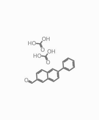 O=C(O)O.O=C(O)O.O=Cc1ccc2cc(-c3ccccc3)ccc2c1